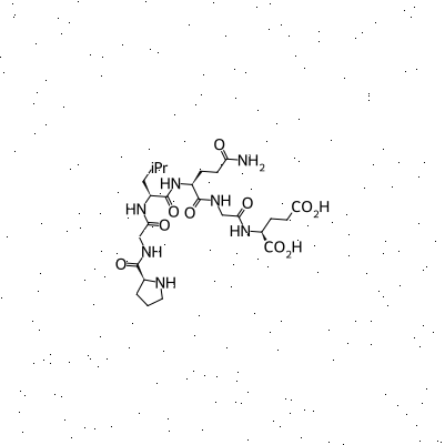 CC(C)C[C@H](NC(=O)CNC(=O)[C@@H]1CCCN1)C(=O)N[C@@H](CCC(N)=O)C(=O)NCC(=O)N[C@@H](CCC(=O)O)C(=O)O